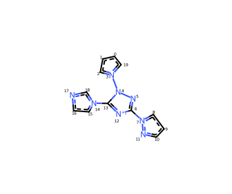 c1ccn(N2N=C(n3cccn3)[N+]=C2n2ccnc2)c1